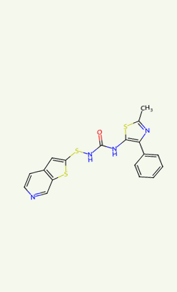 Cc1nc(-c2ccccc2)c(NC(=O)NSc2cc3ccncc3s2)s1